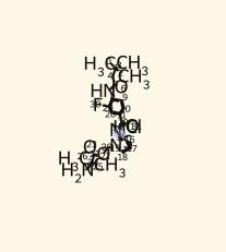 CC(C)(C)CC(=O)Nc1ccc(C(=O)/N=c2\sccn2COC(=O)C(C)(C)N)cc1F.Cl